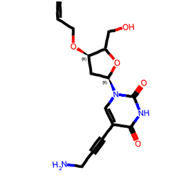 C=CCO[C@@H]1C[C@H](n2cc(C#CCN)c(=O)[nH]c2=O)OC1CO